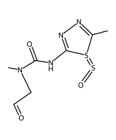 CC1=NN=C(NC(=O)N(C)CC=O)S1=S=O